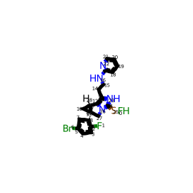 F.Fc1ccc(Br)cc1[C@]12C[C@H]1c1c(CCNc3ccccn3)[nH]c(=S)n1C2